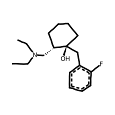 CCN(CC)C[C@@H]1CCCC[C@]1(O)Cc1ccccc1F